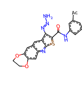 CC(=O)c1cccc(NC(=O)c2sc3nc4cc5c(cc4cc3c2N=NN)OCCO5)c1